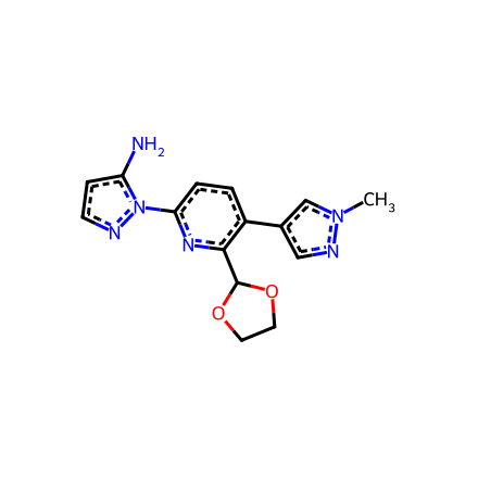 Cn1cc(-c2ccc(-n3nccc3N)nc2C2OCCO2)cn1